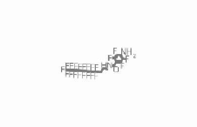 Nc1c(F)c(F)c(C(=O)NCCCC(F)(F)C(F)(F)C(F)(F)C(F)(F)C(F)(F)C(F)(F)C(F)(F)C(F)(F)F)c(F)c1F